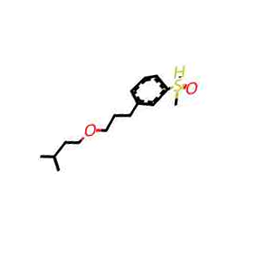 CC(C)CCOCCCc1cccc([SH](C)(C)=O)c1